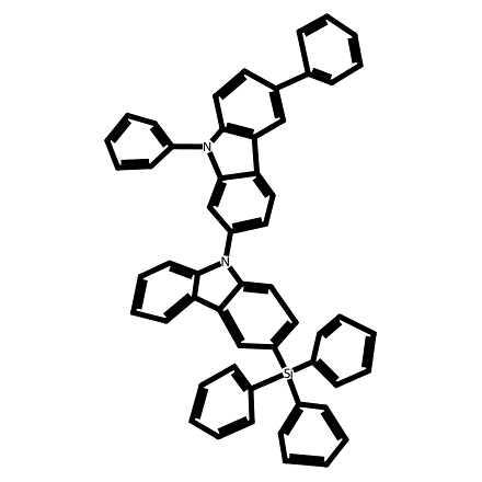 c1ccc(-c2ccc3c(c2)c2ccc(-n4c5ccccc5c5cc([Si](c6ccccc6)(c6ccccc6)c6ccccc6)ccc54)cc2n3-c2ccccc2)cc1